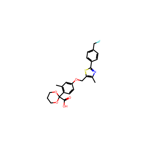 Cc1cc(OCc2sc(-c3ccc(CF)cc3)nc2C)ccc1C1(C(=O)O)OCCCO1